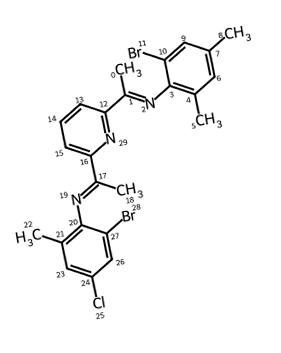 C/C(=N\c1c(C)cc(C)cc1Br)c1cccc(/C(C)=N/c2c(C)cc(Cl)cc2Br)n1